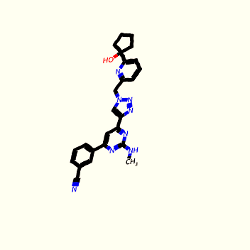 CNc1nc(-c2cccc(C#N)c2)cc(-c2cn(Cc3cccc(C4(O)CCCC4)n3)nn2)n1